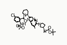 Cc1cc2nc([C@@H]3CCCCN3C(=O)c3cc(Cl)ccc3NS(C)(=O)=O)cn2nc1N1CC[C@@H](N(C)C(=O)OC(C)(C)C)C1